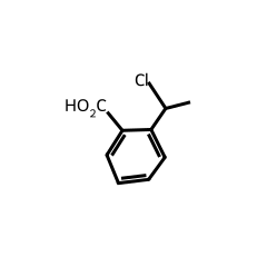 CC(Cl)c1ccccc1C(=O)O